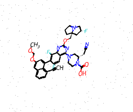 C#Cc1cccc2cc(OCOC)cc(-c3c(F)cc4c(N5CCN(C(=O)O)[C@@H](CC#N)C5)nc(OC[C@@]56CCCN5C[C@H](F)C6)nc4c3F)c12